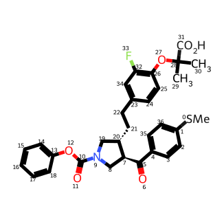 CSc1ccc(C(=O)[C@H]2CN(C(=O)Oc3ccccc3)C[C@@H]2CCc2ccc(OC(C)(C)C(=O)O)c(F)c2)cc1